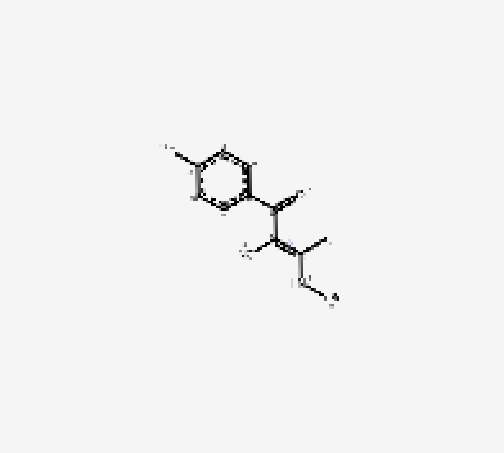 CCCCN/C(C)=C(\C#N)C(=O)c1ccc(F)cc1